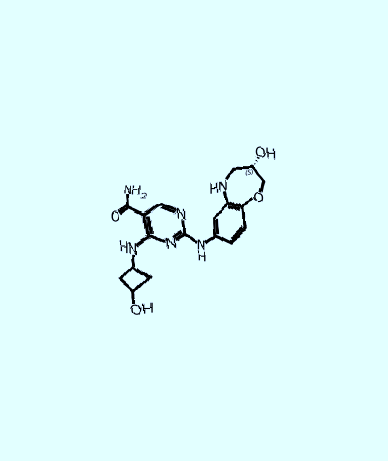 NC(=O)c1cnc(Nc2ccc3c(c2)NC[C@H](O)CO3)nc1NC1CC(O)C1